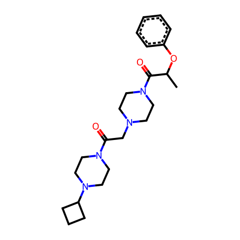 CC(Oc1ccccc1)C(=O)N1CCN(CC(=O)N2CCN(C3CCC3)CC2)CC1